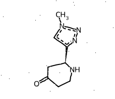 Cn1cc([C@@H]2CC(=O)CCN2)nn1